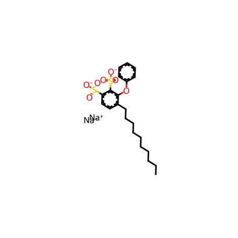 CCCCCCCCCCc1ccc(S(=O)(=O)[O-])c(S(=O)(=O)[O-])c1Oc1ccccc1.[Na+].[Na+]